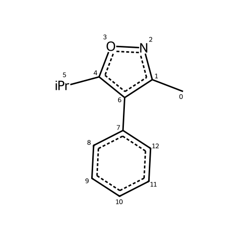 Cc1noc(C(C)C)c1-c1ccccc1